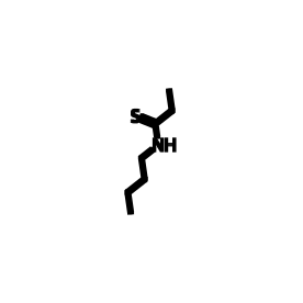 CCCCNC(=S)CC